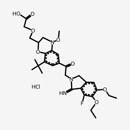 CCOc1cc2c(c(F)c1OCC)C(=N)N(CC(=O)c1cc3c(c(C(C)(C)C)c1)OC(COCC(=O)O)CN3OC)C2.Cl